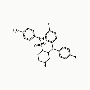 O=S(=O)(Nc1ccc(C(F)(F)F)cc1)C1CCNCC1C(c1ccc(F)cc1)c1ccc(F)cc1